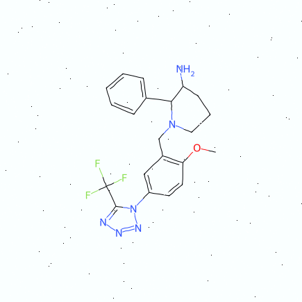 COc1ccc(-n2nnnc2C(F)(F)F)cc1CN1CCCC(N)C1c1ccccc1